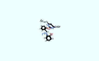 COc1cc(OC)nc(Oc2ccccc2CNc2ccccc2Br)n1